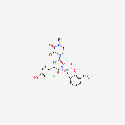 CCN1CCN(C(=O)NC(C(=O)N[C@H]2Cc3cccc(C(=O)O)c3OB2O)c2ncc(O)cc2F)C(=O)C1=O